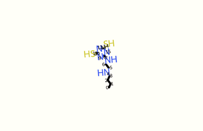 CCCCNCCNc1nc(S)nc(S)n1